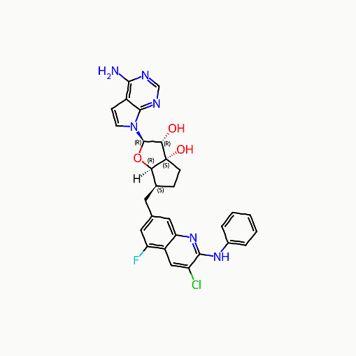 Nc1ncnc2c1ccn2[C@@H]1O[C@@H]2[C@H](Cc3cc(F)c4cc(Cl)c(Nc5ccccc5)nc4c3)CC[C@]2(O)[C@H]1O